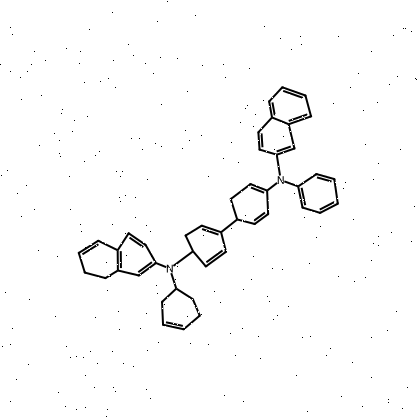 C1=Cc2ccc(N(C3C=CC(C4C=CC(N(c5ccccc5)c5ccc6ccccc6c5)=CC4)=CC3)C3CC=CCC3)cc2CC1